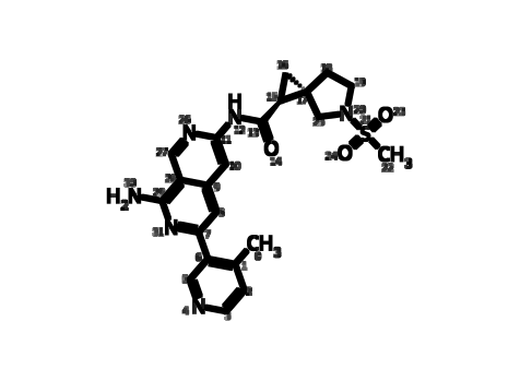 Cc1ccncc1-c1cc2cc(NC(=O)[C@H]3C[C@@]34CCN(S(C)(=O)=O)C4)ncc2c(N)n1